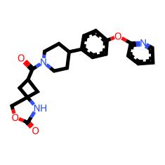 O=C1NC2(CO1)CC(C(=O)N1CCC(c3ccc(Oc4ccccn4)cc3)CC1)C2